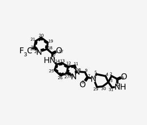 O=C1CC2(CCN(C(=O)Cn3cc4cc(NC(=O)c5cccc(C(F)(F)F)n5)ccc4n3)CC2)CN1